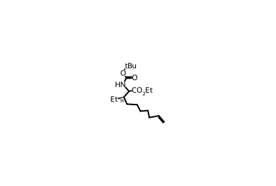 C=CCCCCC[C@@H](CC)C(NC(=O)OC(C)(C)C)C(=O)OCC